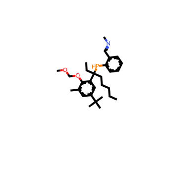 CCCCCC(CC)(Pc1ccccc1/C=N/C)c1cc(C(C)(C)C)cc(C)c1OCOC